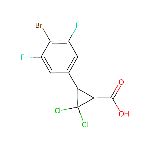 O=C(O)C1C(c2cc(F)c(Br)c(F)c2)C1(Cl)Cl